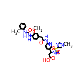 COc1cc(CC(=O)Nc2ccc(C(CC(=O)O)NS(=O)(=O)C3=NCN(C)C3)cn2)ccc1NC(=O)Nc1ccccc1C